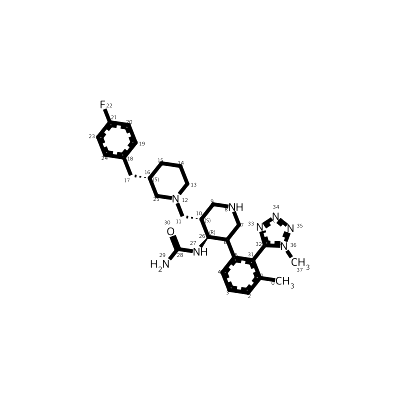 Cc1cccc(C2CNC[C@@H](CN3CCC[C@@H](Cc4ccc(F)cc4)C3)[C@@H]2NC(N)=O)c1-c1nnnn1C